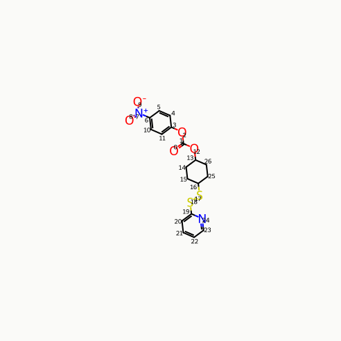 O=C(Oc1ccc([N+](=O)[O-])cc1)OC1CCC(SSc2ccccn2)CC1